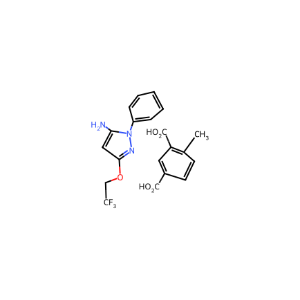 Cc1ccc(C(=O)O)cc1C(=O)O.Nc1cc(OCC(F)(F)F)nn1-c1ccccc1